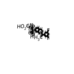 CC(c1cc(F)cc(F)c1)N1CCc2ccc(N(c3nc(C(=O)O)no3)[SH](=O)=O)cc2C1